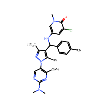 CCOC(=O)c1nn(-c2cnc(N(C)C)nc2OC)c(C(C)C)c1C(Nc1cc(Cl)c(=O)n(C)c1)c1ccc(C#N)cc1